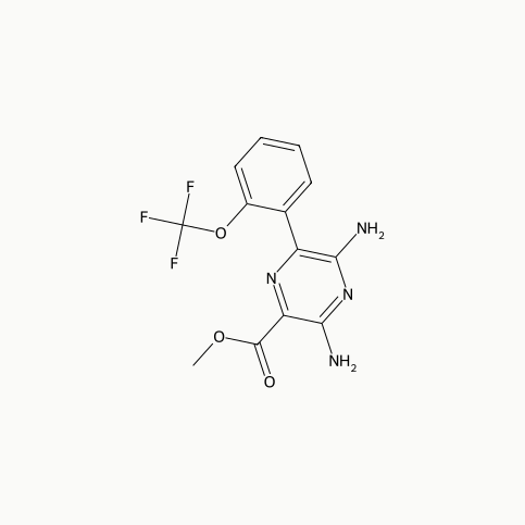 COC(=O)c1nc(-c2ccccc2OC(F)(F)F)c(N)nc1N